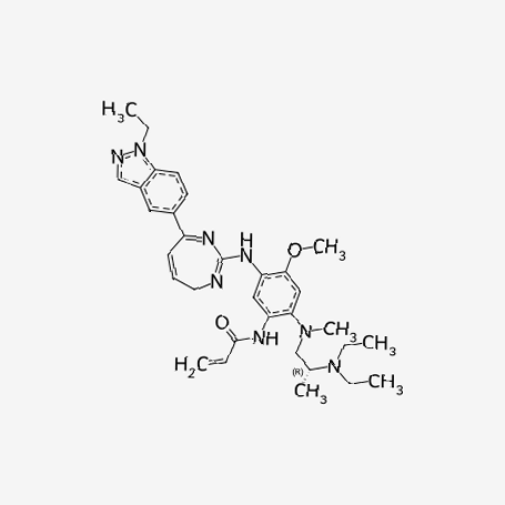 C=CC(=O)Nc1cc(NC2=NCC=CC(c3ccc4c(cnn4CC)c3)=N2)c(OC)cc1N(C)C[C@@H](C)N(CC)CC